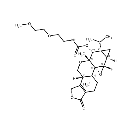 COCCOCCNC(=O)O[C@@H]1[C@@]2(C(C)C)C[C@H]2[C@@H]2O[C@@]23[C@@]2(C)CCC4=C(COC4=O)[C@@H]2CO[C@]13C